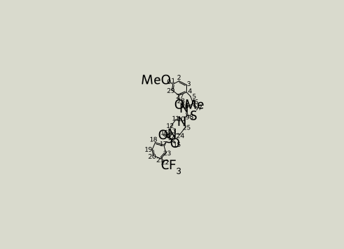 COc1ccc(Cc2csc(N3CCN(S(=O)(=O)c4cccc(C(F)(F)F)c4)CC3)n2)c(OC)c1